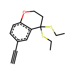 C#Cc1ccc2c(c1)C(SCC)(SCC)CCO2